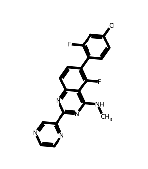 CNc1nc(-c2cnccn2)nc2ccc(-c3ccc(Cl)cc3F)c(F)c12